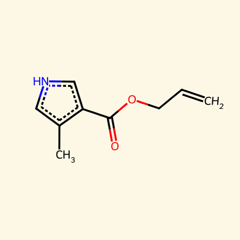 C=CCOC(=O)c1c[nH]cc1C